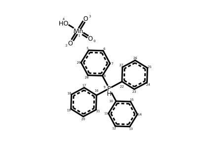 [O]=[Mn](=[O])(=[O])[OH].c1ccc([PH](c2ccccc2)(c2ccccc2)c2ccccc2)cc1